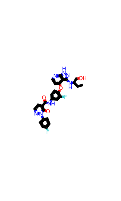 CCC(CO)Nc1n[nH]c2nccc(Oc3ccc(NC(=O)c4ccnn(-c5ccc(F)cc5)c4=O)cc3F)c12